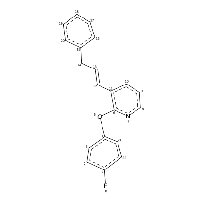 Fc1ccc(Oc2ncccc2C=CCc2ccccc2)cc1